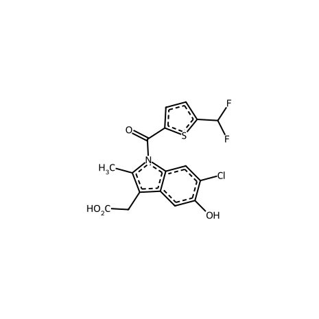 Cc1c(CC(=O)O)c2cc(O)c(Cl)cc2n1C(=O)c1ccc(C(F)F)s1